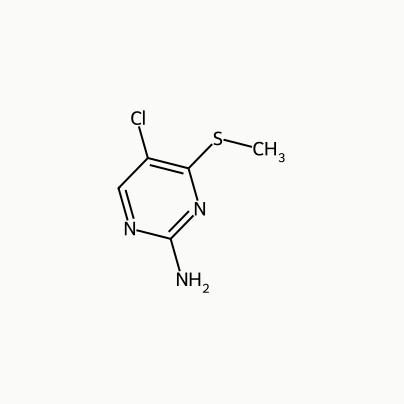 CSc1nc(N)ncc1Cl